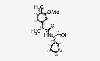 COc1cc([C@@H](C)C(=O)N[C@@H](CO)c2ccccc2)ccc1C